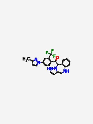 Cc1ccn(-c2ccc(C(=O)C3c4ccccc4NC=C4C=CNN43)c(C(F)(F)F)c2)n1